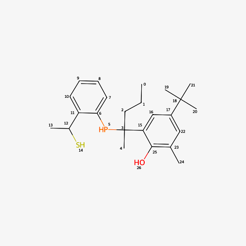 CCCC(C)(Pc1ccccc1C(C)S)c1cc(C(C)(C)C)cc(C)c1O